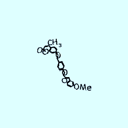 COc1ccc2oc(COc3ccc(COc4ccc5c(C)cc(=O)oc5c4)cc3)cc2c1